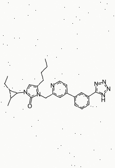 CCCCc1cn(C2C(C)C2CC)c(=O)n1Cc1cc(-c2cccc(-c3nnn[nH]3)c2)ccn1